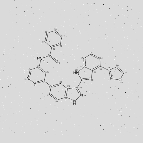 O=C(Nc1cncc(-c2ccc3[nH]nc(-c4cc5c(-c6ccoc6)cccc5[nH]4)c3c2)c1)c1ccccc1